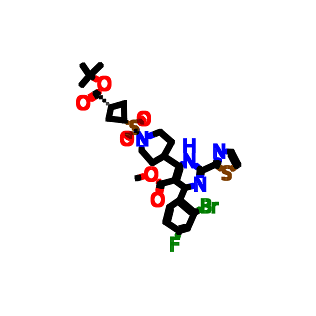 COC(=O)C1=C(C2CCN(S(=O)(=O)[C@H]3C[C@@H](C(=O)OC(C)(C)C)C3)CC2)NC(c2nccs2)=NC1c1ccc(F)cc1Br